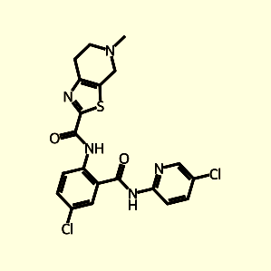 CN1CCc2nc(C(=O)Nc3ccc(Cl)cc3C(=O)Nc3ccc(Cl)cn3)sc2C1